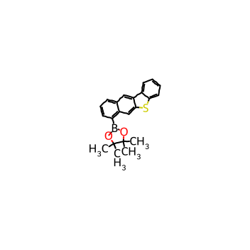 CC1(C)OB(c2cccc3cc4c(cc23)sc2ccccc24)OC1(C)C